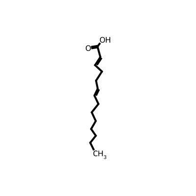 CCCCCCCC=CCCC=CC(=O)O